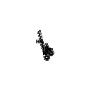 CCCCCCCNCCCCCCc1nc(-c2ccccc2)c(-c2ccccc2)n1C(OCC)[Si](C)(C)C